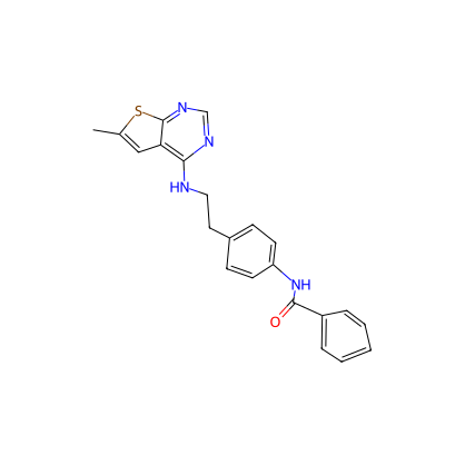 Cc1cc2c(NCCc3ccc(NC(=O)c4ccccc4)cc3)ncnc2s1